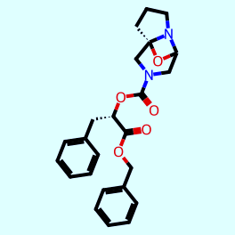 O=C(OCc1ccccc1)[C@H](Cc1ccccc1)OC(=O)N1CC2O[C@@]3(CCCN23)C1